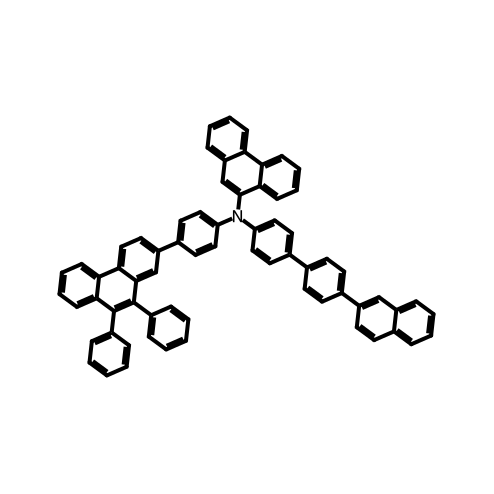 c1ccc(-c2c(-c3ccccc3)c3cc(-c4ccc(N(c5ccc(-c6ccc(-c7ccc8ccccc8c7)cc6)cc5)c5cc6ccccc6c6ccccc56)cc4)ccc3c3ccccc23)cc1